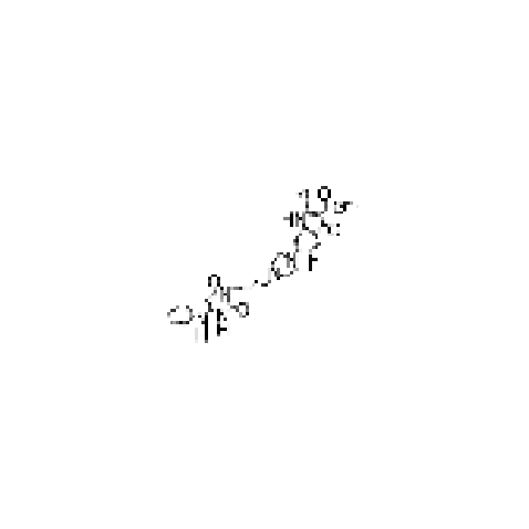 CCOC(=O)c1c(C2CC2)[nH]c2cc(N3CCN(CCCCn4c(=O)cc(Nc5ccccc5)[nH]c4=O)CC3)c(F)cc2c1=O